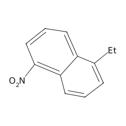 CCc1cccc2c([N+](=O)[O-])cccc12